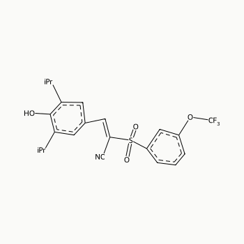 CC(C)c1cc(/C=C(\C#N)S(=O)(=O)c2cccc(OC(F)(F)F)c2)cc(C(C)C)c1O